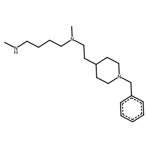 CNCCCCN(C)CCC1CCN(Cc2ccccc2)CC1